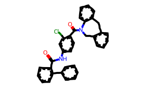 O=C(Nc1ccc(C(=O)N2Cc3ccccc3Cc3ccccc32)c(Cl)c1)c1ccccc1-c1ccccc1